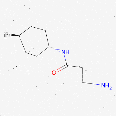 CC(C)[C@H]1CC[C@H](NC(=O)CCN)CC1